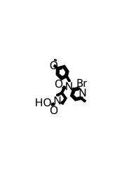 COc1ccc(CN(C(=O)C2CCN(C(=O)O)C2)c2ccc(C)nc2Br)cc1